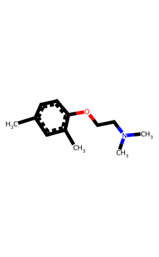 Cc1c[c]c(OCCN(C)C)c(C)c1